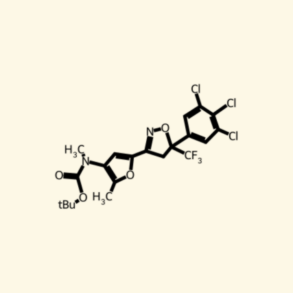 Cc1oc(C2=NOC(c3cc(Cl)c(Cl)c(Cl)c3)(C(F)(F)F)C2)cc1N(C)C(=O)OC(C)(C)C